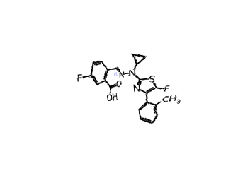 Cc1ccccc1-c1nc(N(/N=C/c2ccc(F)cc2C(=O)O)C2CC2)sc1F